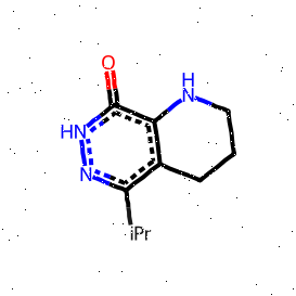 CC(C)c1n[nH]c(=O)c2c1CCCN2